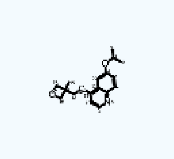 CC(C)Oc1ccc2nccc(OCC3(C)COC3)c2c1